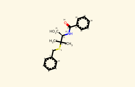 CC(C)(SCc1ccccc1)[C@H](NC(=O)c1ccccc1)C(=O)O